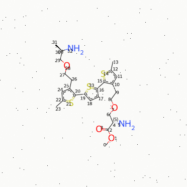 COC(=O)[C@@H](N)COCCc1cc(C)sc1-c1ccc(-c2sc(C)cc2CCOC[C@@H](C)N)s1